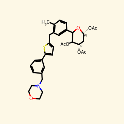 CC(=O)OC1C(c2ccc(C)c(Cc3ccc(-c4cccc(CN5CCOCC5)c4)s3)c2)O[C@H](OC(C)=O)C[C@@H]1OC(C)=O